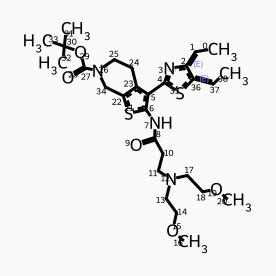 C/C=c1/nc(-c2c(NC(=O)CCN(CCOC)CCOC)sc3c2CCN(C(=O)OC(C)(C)C)C3)s/c1=C/C